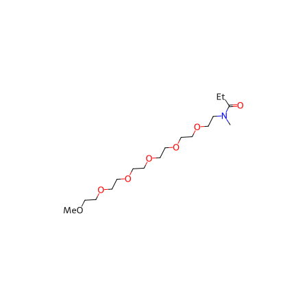 CCC(=O)N(C)CCOCCOCCOCCOCCOCCOC